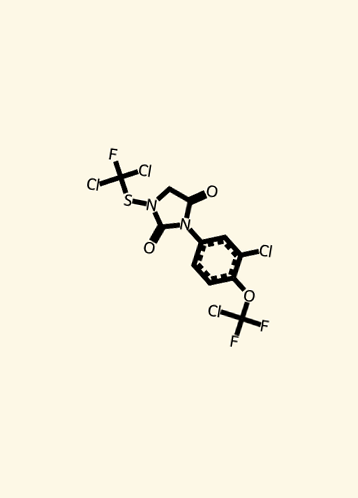 O=C1CN(SC(F)(Cl)Cl)C(=O)N1c1ccc(OC(F)(F)Cl)c(Cl)c1